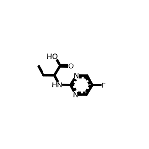 CCC(Nc1ncc(F)cn1)C(=O)O